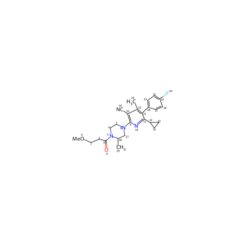 COCCC(=O)N1CCN(c2nc(C3CC3)c(-c3ccc(F)cc3)c(C)c2C#N)CC1C